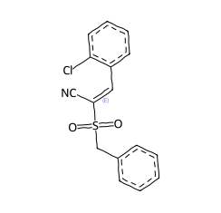 N#C/C(=C\c1ccccc1Cl)S(=O)(=O)Cc1ccccc1